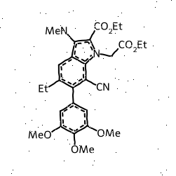 CCOC(=O)Cn1c(C(=O)OCC)c(NC)c2cc(CC)c(-c3cc(OC)c(OC)c(OC)c3)c(C#N)c21